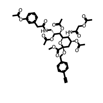 C#Cc1ccc(CO[C@]2(C(=O)OC)C[C@H](OC(C)=O)[C@@H](NC(=O)COC(C)=O)[C@H]([C@H](OC(C)=O)[C@@H](CNC(=O)Cc3cccc(OC(C)=O)c3)OC(C)=O)O2)cc1